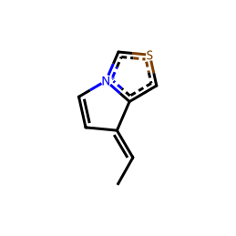 CC=C1C=C[n+]2cscc21